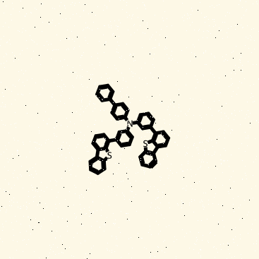 c1ccc2sc3c(-c4cccc(N(c5ccc(-c6ccccc6)cc5)c5cccc(-c6cccc7c6sc6ccccc67)c5)c4)cccc3c2c#1